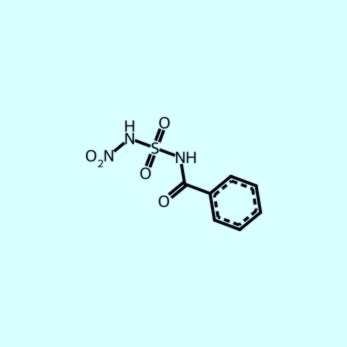 O=C(NS(=O)(=O)N[N+](=O)[O-])c1ccccc1